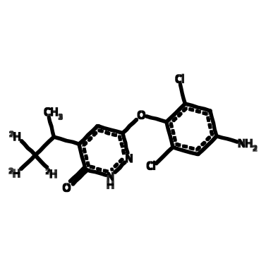 [2H]C([2H])([2H])C(C)c1cc(Oc2c(Cl)cc(N)cc2Cl)n[nH]c1=O